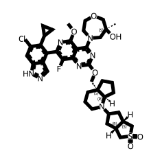 COc1nc(-c2c(C3CC3)c(Cl)cc3[nH]ncc23)c(F)c2nc(OC[C@]34CCC[C@H]3N(C3C[C@@H]5CS(=O)(=O)C[C@@H]5C3)CCC4)nc(N3CCOC[C@@](C)(O)C3)c12